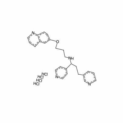 Cl.Cl.Cl.Cl.c1cncc(CCC(NCCCOc2ccc3ncccc3c2)c2ccncc2)c1